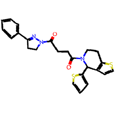 O=C(CCC(=O)N1CCc2sccc2C1c1cccs1)N1CCC(c2ccccc2)=N1